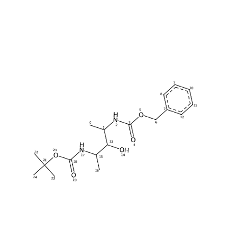 CC(NC(=O)OCc1ccccc1)C(O)C(C)NC(=O)OC(C)(C)C